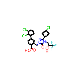 O=C(O)c1ccc(-c2cccc(Cl)c2Cl)cc1Cn1nc(-c2ccc(Cl)cc2)n(C[C@H](O)C(F)(F)F)c1=O